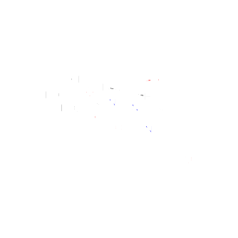 CC(C)(C)OC(=O)N1C(=O)N(c2nc3c4c(ccc3s2)OCC4)[C@H]2[C@H](O)CC[C@H]21